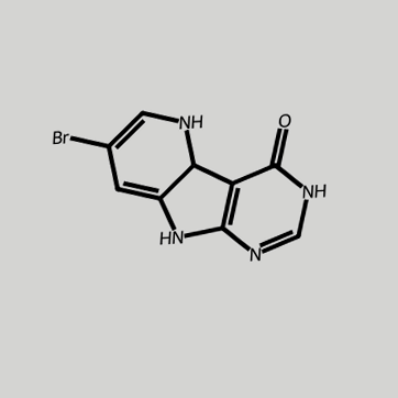 O=c1[nH]cnc2c1C1NC=C(Br)C=C1N2